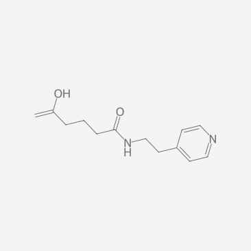 C=C(O)CCCC(=O)NCCc1ccncc1